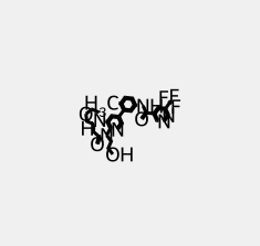 Cc1ccc(NC(=O)c2cnnc(C(F)(F)F)c2)cc1-c1cnc2c(c1)N1CCOC[C@H]1CC(=O)N2CCO